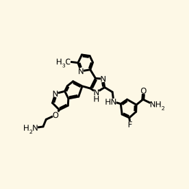 Cc1cccc(-c2nc(CNc3cc(F)cc(C(N)=O)c3)[nH]c2-c2ccc3ncc(OCCN)cc3c2)n1